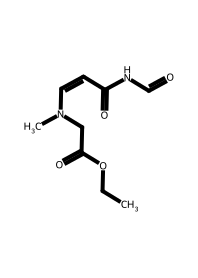 CCOC(=O)CN(C)/C=C\C(=O)NC=O